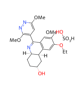 CCOc1cc2c(cc1OC)C(c1cc(OC)nnc1OC)=N[C@@H]1CC[C@@H](O)C[C@H]21.O=S(=O)(O)O